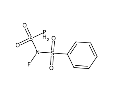 O=S(=O)(P)N(F)S(=O)(=O)c1ccccc1